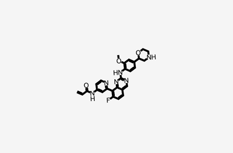 C=CC(=O)Nc1ccnc(-c2c(F)ccc3cnc(Nc4ccc(C5CNCCO5)cc4OC)nc23)c1